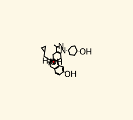 Cc1nn([C@H]2CC[C@@H](O)CC2)c2c1C[C@@]1(O)[C@H]3Cc4ccc(O)cc4[C@@]1(CCN3CC1CC1)C2